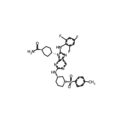 Cc1ccc(S(=O)(=O)N2CCC[C@@H](Nc3ncc4nc(Nc5c(F)cc(F)cc5F)n([C@H]5CC[C@H](C(N)=O)CC5)c4n3)C2)cc1